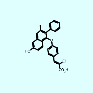 Cc1cc2cc(O)ccc2c(Oc2ccc(C=C(Cl)C(=O)O)cc2)c1-c1ccccc1